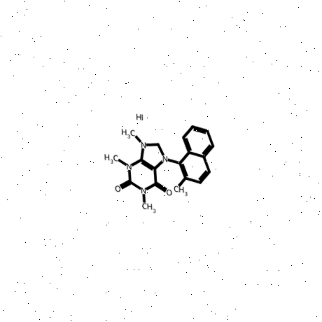 Cc1ccc2ccccc2c1N1CN(C)c2c1c(=O)n(C)c(=O)n2C.I